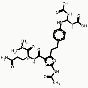 CC(=O)Nc1nc(CCc2ccc(NC(NC(=O)O)NC(=O)O)cc2)c(C(=O)N[C@@H](CCC(N)=O)C(=O)N(C)C)s1